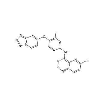 Cc1cc(Nc2ncnc3ccc(Cl)nc23)ccc1Oc1ccn2nnnc2c1